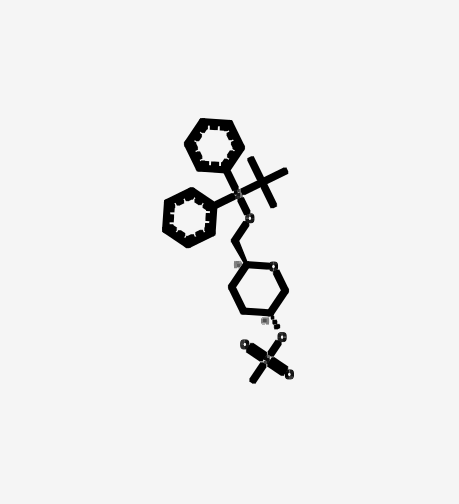 CC(C)(C)[Si](OC[C@@H]1CC[C@@H](OS(C)(=O)=O)CO1)(c1ccccc1)c1ccccc1